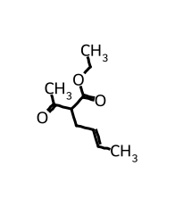 C/C=C/CC(C(C)=O)C(=O)OCC